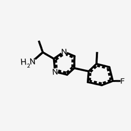 Cc1cc(F)ccc1-c1cnc(C(C)N)nc1